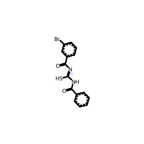 O=C(/N=C(\S)NC(=O)c1ccccc1)c1cccc(Br)c1